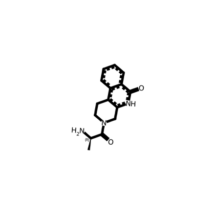 C[C@@H](N)C(=O)N1CCc2c([nH]c(=O)c3ccccc23)C1